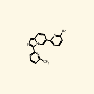 CC(=O)c1cccc(-c2ccc3cnc(-c4cccc(C(F)(F)F)n4)n3c2)n1